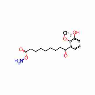 COc1c(O)cccc1C(=O)CCCCCCCC(=O)ON